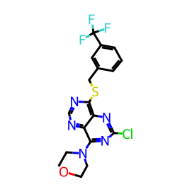 FC(F)(F)c1cccc(CSc2ncnc3c(N4CCOCC4)nc(Cl)nc23)c1